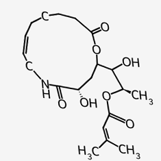 CC(C)=CC(=O)O[C@H](C)C(O)C1C[C@H](O)C(=O)NC/C=C\CCCCC(=O)O1